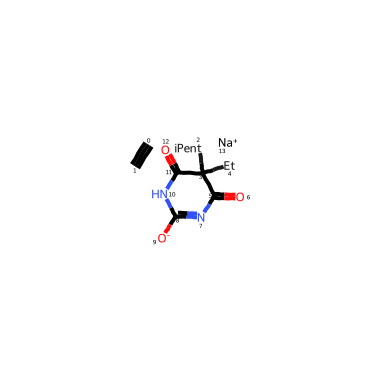 C#C.CCCC(C)C1(CC)C(=O)N=C([O-])NC1=O.[Na+]